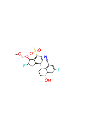 COCO[C@H]1c2c(S(C)(=O)=O)ccc([C@H]3CC[C@@H](O)c4cc(F)cc(C#N)c43)c2C[C@H]1F